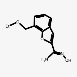 CCOCc1cccc2cc(C(N)=NO)oc12